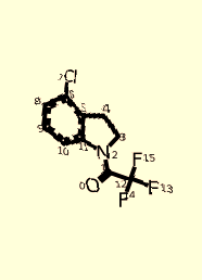 O=C(N1CCc2c(Cl)cccc21)C(F)(F)F